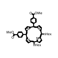 CCCCCCC1=C2C=CC(=N2)C(CCCCCC)=C2C=CC(=N2)C(c2ccc(C(=O)OC)cc2)=C2C=CC(=N2)C(c2ccc(C(=O)OC)cc2)=C2C=CC1=N2